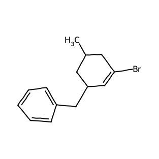 CC1CC(Br)=CC(Cc2ccccc2)C1